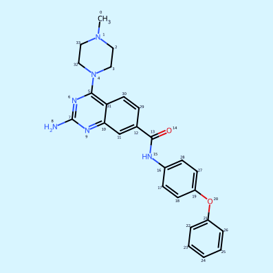 CN1CCN(c2nc(N)nc3cc(C(=O)Nc4ccc(Oc5ccccc5)cc4)ccc23)CC1